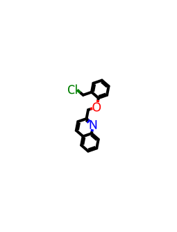 ClCc1ccccc1OCc1ccc2ccccc2n1